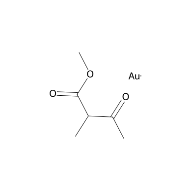 COC(=O)C(C)C(C)=O.[Au]